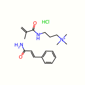 C=C(C)C(=O)NCCC[N+](C)(C)C.Cl.NC(=O)/C=C/c1ccccc1